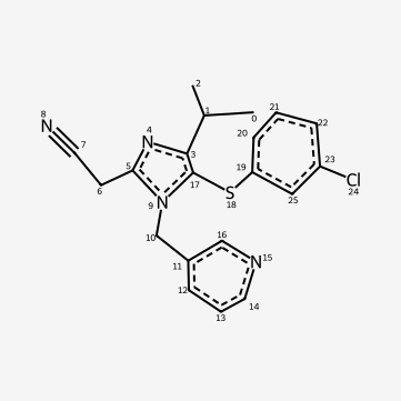 CC(C)c1nc(CC#N)n(Cc2cccnc2)c1Sc1cccc(Cl)c1